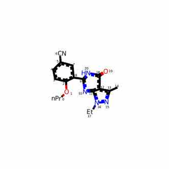 CCCOc1ccc(C#N)cc1-c1nc2c(c(C)nn2CC)c(=O)[nH]1